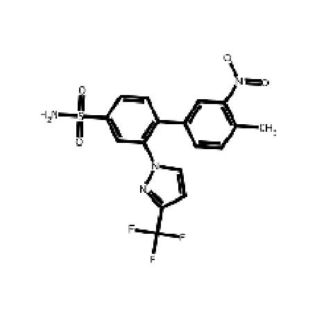 Cc1ccc(-c2ccc(S(N)(=O)=O)cc2-n2ccc(C(F)(F)F)n2)cc1[N+](=O)[O-]